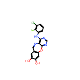 Oc1cc2c(cc1O)Oc1ncnc(Nc3cccc(Cl)c3F)c1N=C2